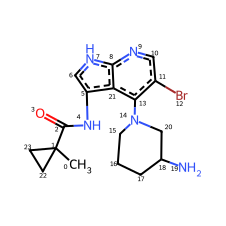 CC1(C(=O)Nc2c[nH]c3ncc(Br)c(N4CCCC(N)C4)c23)CC1